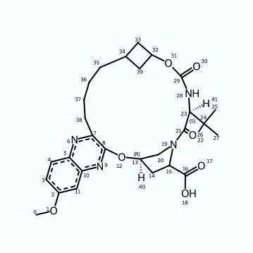 COc1ccc2nc3c(nc2c1)O[C@@H]1CC(C(=O)O)N(C1)C(=O)[C@H](C(C)(C)C)NC(=O)OC1CC(CCCC3)C1